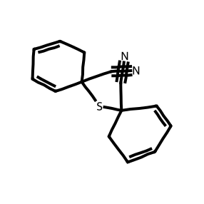 N#CC1(SC2(C#N)C=CC=CC2)C=CC=CC1